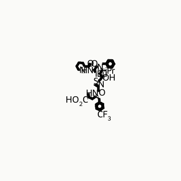 CCC(C)C(NC(=O)C1CCCCN1C)C(=O)N(Cc1ccccc1)[C@H](C[C@@H](O)c1nc(C(=O)N[C@@H](Cc2ccc(C(F)(F)F)cc2)C[C@H](C)C(=O)O)cs1)C(C)C